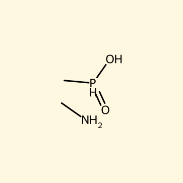 CN.C[PH](=O)O